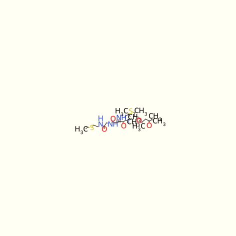 CCSCCNC(=O)CNC(=O)C[C@H](N)C(=O)C(C)CC(C)(C)SC(C)CCOC(C)CC(=O)C(C)C